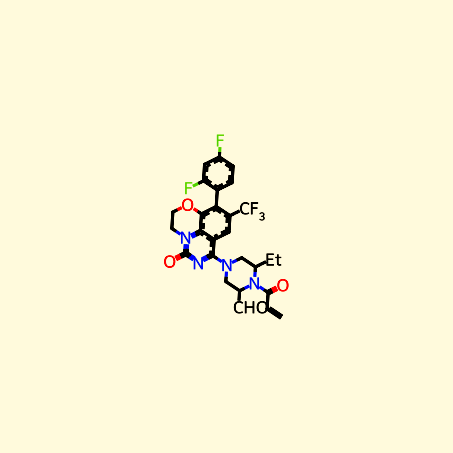 C=CC(=O)N1C(C=O)CN(c2nc(=O)n3c4c(c(-c5ccc(F)cc5F)c(C(F)(F)F)cc24)OCC3)CC1CC